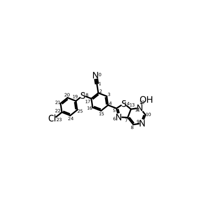 N#Cc1cc(C2=NC3=CN=CN(O)C3S2)ccc1Sc1ccc(Cl)cc1